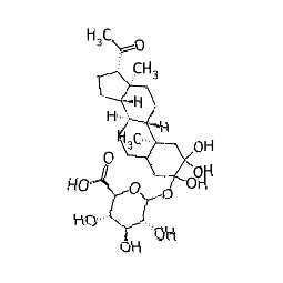 CC(=O)[C@H]1CC[C@H]2[C@@H]3CCC4CC(O)(OC5O[C@H](C(=O)O)[C@@H](O)[C@H](O)[C@H]5O)C(O)(O)C[C@]4(C)[C@H]3CC[C@]12C